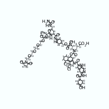 Cc1cccc2c(OC(=O)N(CCCC(=O)O)CCN(C)C(=O)OCc3ccc(NC(=O)[C@H](CCCNC(N)=O)NC(=O)[C@@H](NC(=O)OCCOCCOCCOCCN4C(=O)C=CC4=O)C(C)C)cc3)cc3c(c12)[C@H](CCl)CN3C(=O)c1cc2cc(NC(=O)c3ccc(O)cc3)ncc2[nH]1